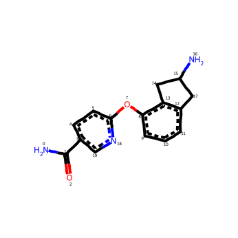 NC(=O)c1ccc(Oc2cccc3c2CC(N)C3)nc1